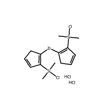 C[Si](C)(Cl)C1=[C]([Zr][C]2=C([Si](C)(C)Cl)C=CC2)CC=C1.Cl.Cl